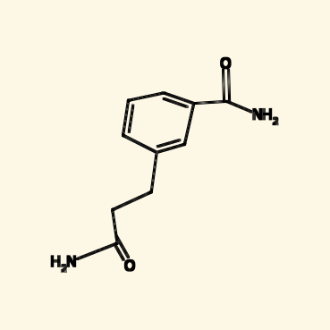 NC(=O)CCc1cccc(C(N)=O)c1